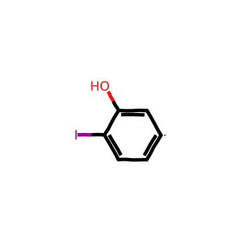 Oc1c[c]ccc1I